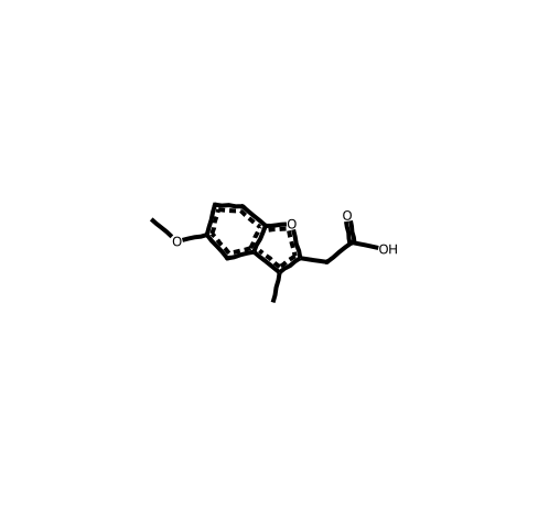 COc1ccc2oc(CC(=O)O)c(C)c2c1